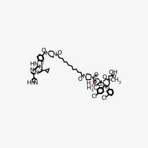 CC(C)(C)[C@@H](CS(=O)(=O)N1CCN(C(=O)CCCCCCCCCCC(=O)N2CCN(C(=O)c3ccc(Nc4nc(C5CC5)cn5c(-c6cn[nH]c6)cnc45)c(F)c3)CC2)CC1)N1C(=O)[C@@](C)(CC(=O)O)C[C@H](c2cccc(Cl)c2)[C@H]1c1ccc(Cl)cc1